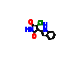 O=C1NC(=O)C(c2cc3ccccc3[nH]2)=C1Cl